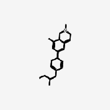 CCC(C)CC1=CCC(C2=CC3=CCN(C)CC3C(C)=C2)C=C1